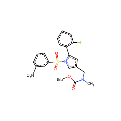 CN(Cc1cc(-c2ccccc2F)n(S(=O)(=O)c2cccc([N+](=O)[O-])c2)c1)C(=O)OC(C)(C)C